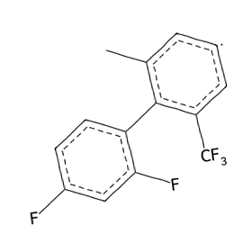 Cc1c[c]cc(C(F)(F)F)c1-c1ccc(F)cc1F